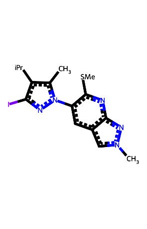 CSc1nc2nn(C)cc2cc1-n1nc(I)c(C(C)C)c1C